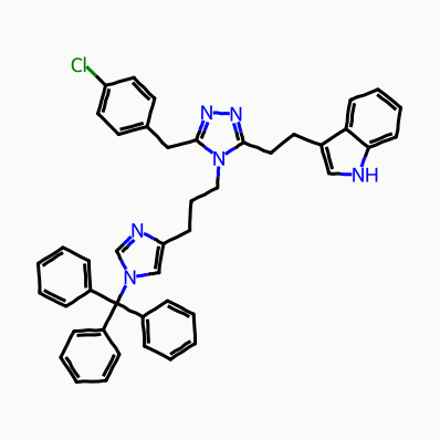 Clc1ccc(Cc2nnc(CCc3c[nH]c4ccccc34)n2CCCc2cn(C(c3ccccc3)(c3ccccc3)c3ccccc3)cn2)cc1